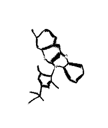 Cc1ccc2c3c(sc2c1)N(c1c(C)cc(C(C)(C)C)cc1C)c1ccccc1O3